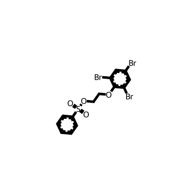 O=S(=O)(OCCOc1c(Br)cc(Br)cc1Br)c1ccccc1